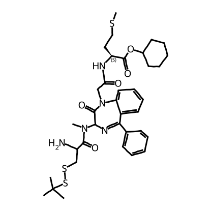 CSCC[C@H](NC(=O)CN1C(=O)C(N(C)C(=O)C(N)CSSC(C)(C)C)N=C(c2ccccc2)c2ccccc21)C(=O)OC1CCCCC1